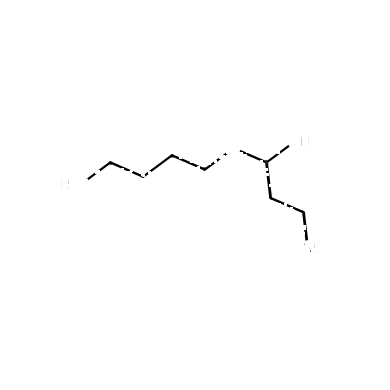 CCCCCNC(C)CCN